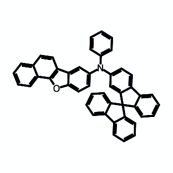 c1ccc(N(c2ccc3c(c2)C2(c4ccccc4-c4ccccc42)c2ccccc2-3)c2ccc3oc4c5ccccc5ccc4c3c2)cc1